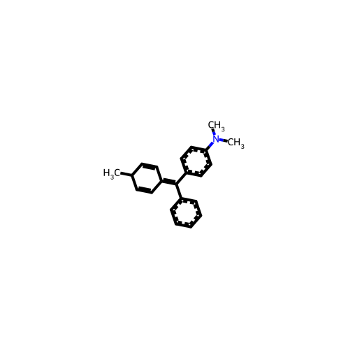 CC1C=CC(=C(c2ccccc2)c2ccc(N(C)C)cc2)C=C1